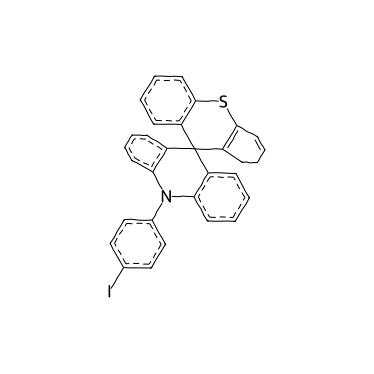 Ic1ccc(N2c3ccccc3C3(C4=C(C=CCC4)Sc4ccccc43)c3ccccc32)cc1